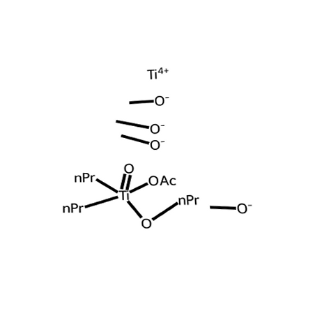 CCC[O][Ti](=[O])([CH2]CC)([CH2]CC)[O]C(C)=O.C[O-].C[O-].C[O-].C[O-].[Ti+4]